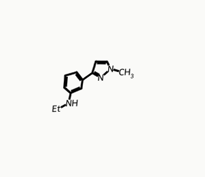 CCNc1cccc(-c2ccn(C)n2)c1